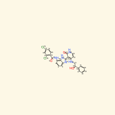 O=C(Nc1cccc2nc(-c3c(NC[C@H](O)c4ccccc4)cc[nH]c3=O)[nH]c12)c1ccc(Cl)cc1Cl